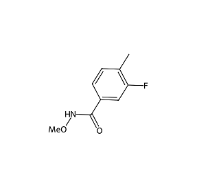 CONC(=O)c1ccc(C)c(F)c1